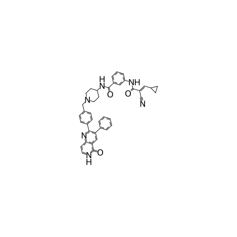 N#C/C(=C\C1CC1)C(=O)Nc1cccc(C(=O)NC2CCN(Cc3ccc(-c4nc5cc[nH]c(=O)c5cc4-c4ccccc4)cc3)CC2)c1